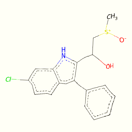 C[S+]([O-])CC(O)c1[nH]c2cc(Cl)ccc2c1-c1ccccc1